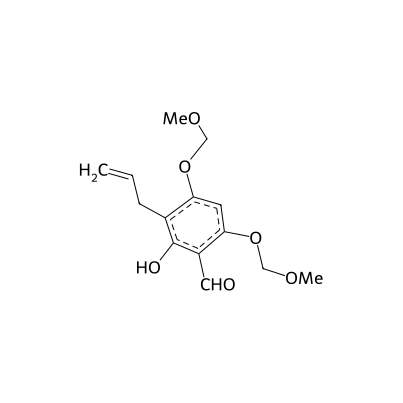 C=CCc1c(OCOC)cc(OCOC)c(C=O)c1O